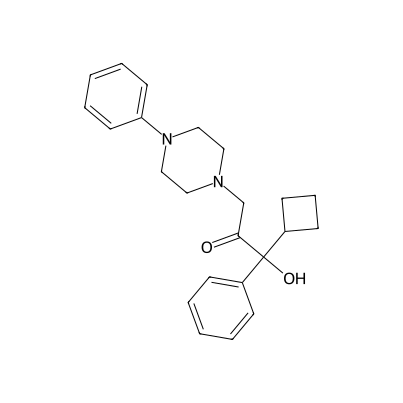 O=C(CN1CCN(c2ccccc2)CC1)C(O)(c1ccccc1)C1CCC1